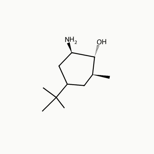 C[C@H]1CC(C(C)(C)C)C[C@@H](N)[C@@H]1O